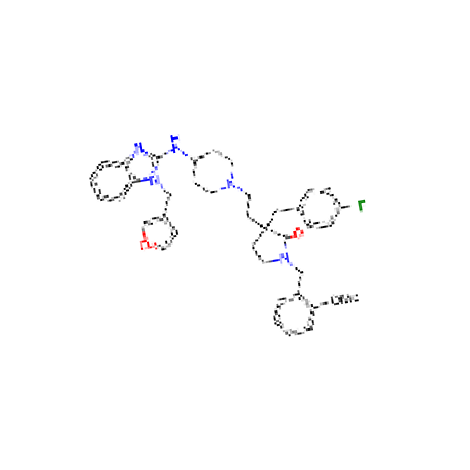 COc1ccccc1CN1CCC(CCN2CCC(Nc3nc4ccccc4n3Cc3ccoc3)CC2)(Cc2ccc(F)cc2)C1=O